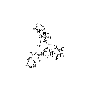 O=C(O)C(F)(F)F.O=S(=O)(Nc1nccs1)c1ccc2c(c1)OCCN2c1ccc2nccnc2c1